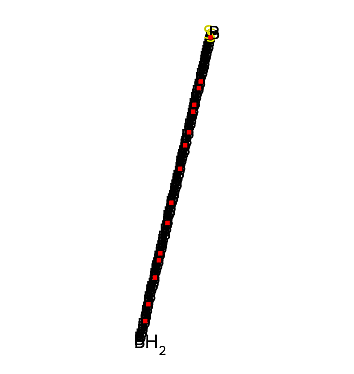 BB=BB=BB=BB=BB=BB=BB=BB=BB=BB=BB=BB=BB=BB=BB=BB=BB=BB=BB=BB=BB=BB=BB=BB=BB=BB=BB=BB=BB=BB=BB=BB=BB=BB=BB=BB=BB=BB=BB=BB=BB=BB=BB=BB=BB=BS(=S)B=C